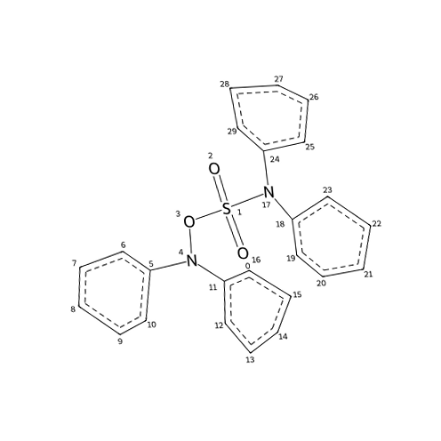 O=S(=O)(ON(c1ccccc1)c1ccccc1)N(c1ccccc1)c1ccccc1